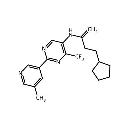 C=C(CCC1CCCC1)Nc1cnc(-c2cncc(C)c2)nc1C(F)(F)F